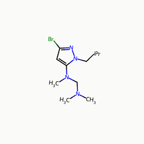 CC(C)Cn1nc(Br)cc1N(C)CN(C)C